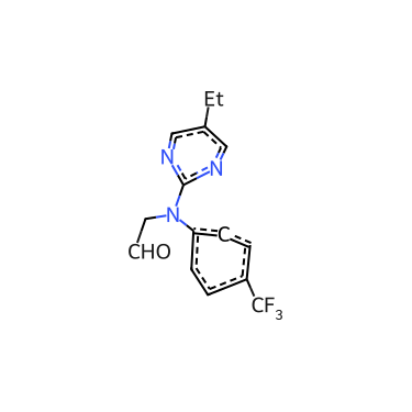 CCc1cnc(N(CC=O)c2ccc(C(F)(F)F)cc2)nc1